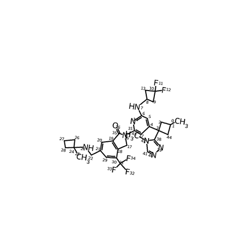 CC1CC(c2cc(NC3CC(F)(F)C3)nc(N3Cc4c(cc(CNC5(C)CCC5)cc4C(F)(F)F)C3=O)c2)(c2nncn2C)C1